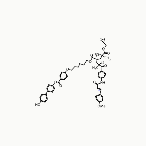 CCC(C)(CC(C)(CC(C)(C)C(=O)OCC1CO1)C(=O)OCCCCCCOc1ccc(C(=O)Oc2ccc(-c3ccc(O)cc3)cc2)cc1)C(=O)c1ccc(NC(=O)/C=C/c2ccc(OC)cc2)cc1